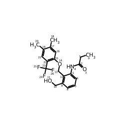 CCC(=O)Nc1cccc(CO)c1COc1cc(C)c(C)cc1C(F)(F)F